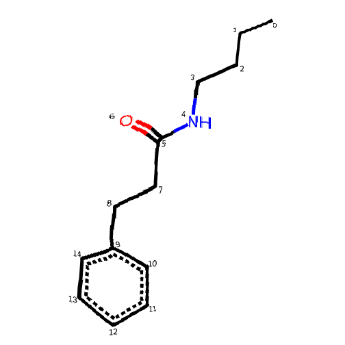 CCCCNC(=O)CCc1ccccc1